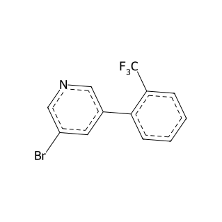 FC(F)(F)c1ccccc1-c1cncc(Br)c1